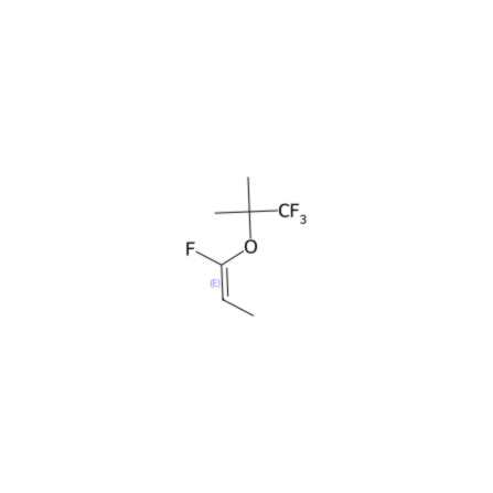 C/C=C(/F)OC(C)(C)C(F)(F)F